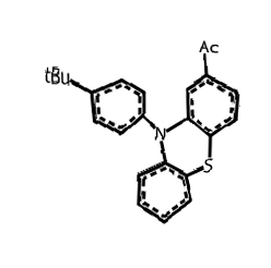 CC(=O)c1ccc2c(c1)N(c1ccc(C(C)(C)C)cc1)c1ccccc1S2